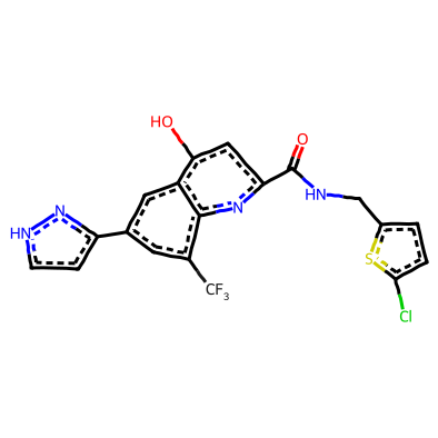 O=C(NCc1ccc(Cl)s1)c1cc(O)c2cc(-c3cc[nH]n3)cc(C(F)(F)F)c2n1